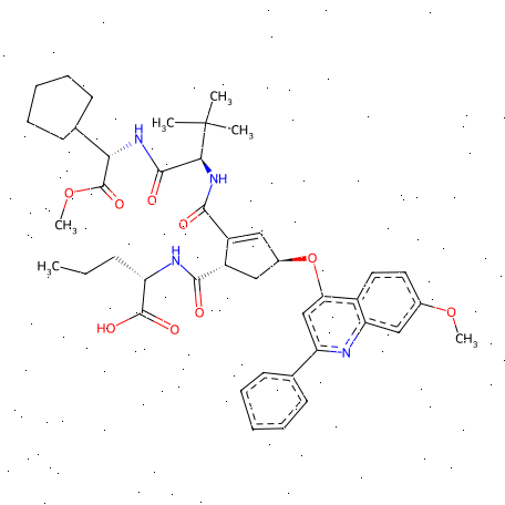 CCC[C@H](NC(=O)[C@H]1C[C@H](Oc2cc(-c3ccccc3)nc3cc(OC)ccc23)C=C1C(=O)N[C@@H](C(=O)N[C@H](C(=O)OC)C1CCCCC1)C(C)(C)C)C(=O)O